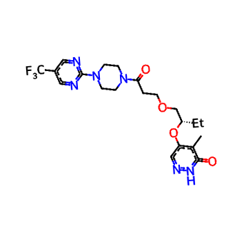 CC[C@@H](COCCC(=O)N1CCN(c2ncc(C(F)(F)F)cn2)CC1)Oc1cn[nH]c(=O)c1C